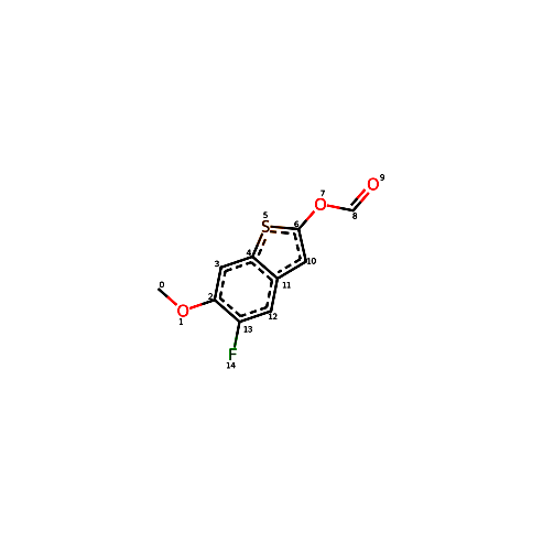 COc1cc2sc(OC=O)cc2cc1F